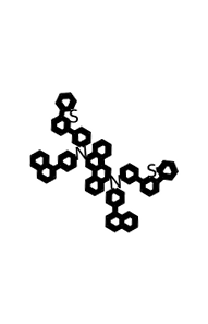 c1cc(-c2cccc3c2sc2ccccc23)cc(N(c2ccc(-c3cccc4ccccc34)cc2)c2cc3c4ccccc4c(N(c4ccc(-c5cccc6ccccc56)cc4)c4cccc(-c5cccc6c5sc5ccccc56)c4)cc3c3ccccc23)c1